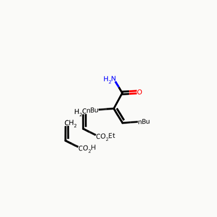 C=CC(=O)O.C=CC(=O)OCC.CCCCC=C(CCCC)C(N)=O